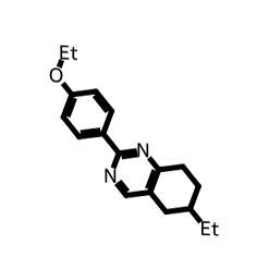 CCOc1ccc(-c2ncc3c(n2)CCC(CC)C3)cc1